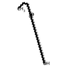 CCCCC/C=C\C/C=C\CCCCCCCC(=O)OCCCCCCCCCCCCCCCCCCCCCCCCCCCCCCCCCCCCO